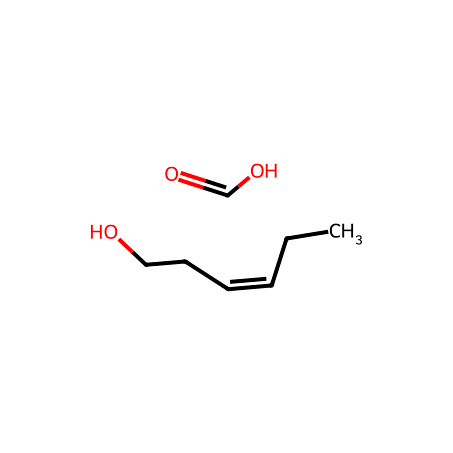 CC/C=C\CCO.O=CO